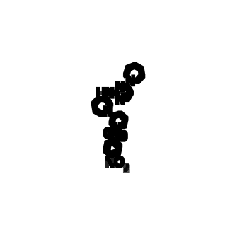 O=[N+]([O-])c1ccc(S(=O)(=O)N2CCCC(N3CCCCC(Nc4nccc(N5CCCCCC5)n4)C3)C2)cc1